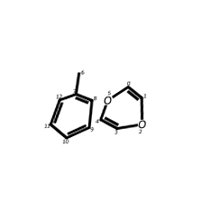 C1=COC=CO1.Cc1ccccc1